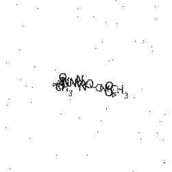 CC1(CS(=O)(=O)N2CCN(c3cnc(OCC4CCN(C(=O)OC5(C)CC5)CC4)cn3)CC2)CC1